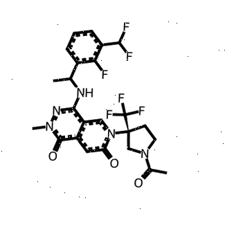 CC(=O)N1CC[C@](n2cc3c(NC(C)c4cccc(C(F)F)c4F)nn(C)c(=O)c3cc2=O)(C(F)(F)F)C1